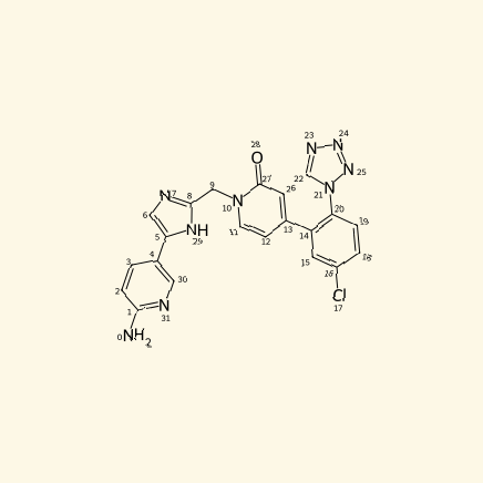 Nc1ccc(-c2cnc(Cn3ccc(-c4cc(Cl)ccc4-n4cnnn4)cc3=O)[nH]2)cn1